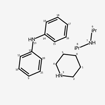 C1CCNCC1.CC(C)NC(C)C.c1ccc(Nc2ccccc2)cc1